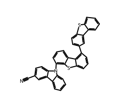 N#Cc1ccc2c(c1)c1ccccc1n2-c1cccc2c1sc1cccc(-c3ccc4sc5ccccc5c4c3)c12